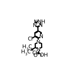 CC(C)(C)C1CN(c2ncc(-c3nn[nH]n3)cc2Cl)CCN1C(=O)O